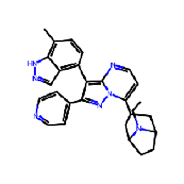 CCN1C2CCC1CC(c1ccnc3c(-c4ccc(C)c5[nH]ncc45)c(-c4ccncc4)nn13)C2